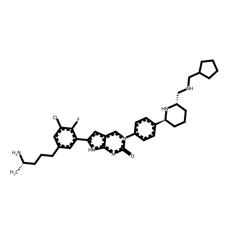 C[C@H](N)CCCc1cc(Cl)c(F)c(-c2cc3cn(-c4ccc([C@@H]5CCC[C@@H](CNCC6CCCC6)N5)cc4)c(=O)nc3[nH]2)c1